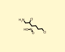 NCC(Cl)CCCCCl.O=NO